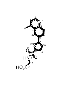 Cc1ccnc2ccc(-c3ccc(S(=O)(=O)NCC(=O)O)s3)cc12